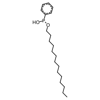 CCCCCCCCCCCCCCOP(O)c1ccccc1